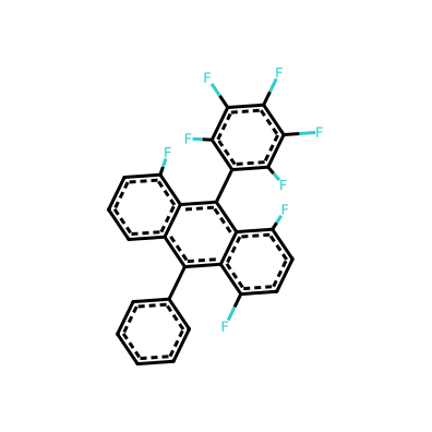 Fc1c(F)c(F)c(-c2c3c(F)cccc3c(-c3ccccc3)c3c(F)ccc(F)c23)c(F)c1F